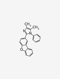 Cc1nc(-c2ccc3oc4ccccc4c3c2)n(-c2ccccc2)c1C